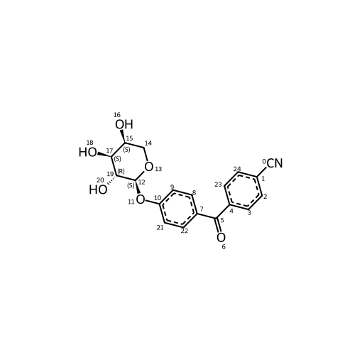 N#Cc1ccc(C(=O)c2ccc(O[C@@H]3OC[C@H](O)[C@H](O)[C@H]3O)cc2)cc1